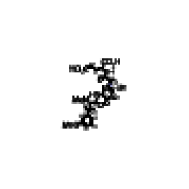 CN[C@H](C(=O)NC(C(=O)N(C)[C@H](/C=C(\C)C(=O)N[C@H](CCC(=O)O)C(=O)O)C(C)C)C(C)(C)C)C(C)(C)c1cccc(OC)c1